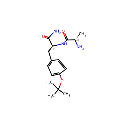 C[C@H](N)C(=O)N[C@@H](Cc1ccc(OC(C)(C)C)cc1)C(N)=O